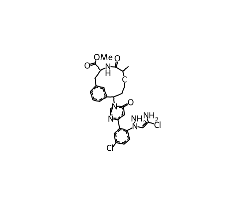 COC(=O)C1Cc2cccc(c2)C(n2cnc(-c3cc(Cl)ccc3N(N)/C=C(\N)Cl)cc2=O)CCCC(C)C(=O)N1